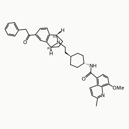 COc1ccc(C(=O)N[C@H]2CC[C@H](CCN3[C@@H]4CC[C@H]3c3ccc(C(=O)Cc5ccccc5)cc34)CC2)c2ccc(C)nc12